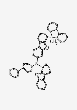 CC1(c2cccc3c2oc2cc(N(c4ccc(-c5ccccc5)cc4)c4cccc5c4oc4ccccc45)ccc23)c2ccccc2-c2ccccc21